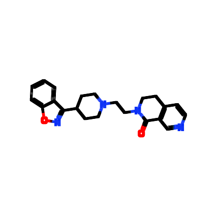 O=C1c2cnccc2CCN1CCN1CCC(c2noc3ccccc23)CC1